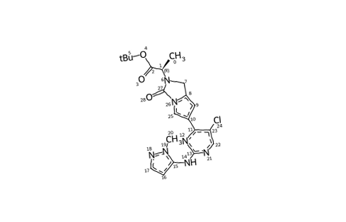 C[C@H](C(=O)OC(C)(C)C)N1Cc2cc(-c3nc(Nc4ccnn4C)ncc3Cl)cn2C1=O